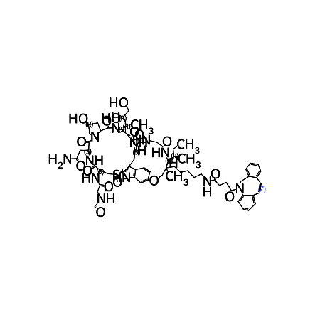 CC[C@@H](C)[C@@H]1NC(=O)CNC(=O)[C@@H]2Cc3c([nH]c4cc(ccc34)OCC1(C)CCCCCNC(=O)CCC(=O)N1Cc3ccccc3/C=C\c3ccccc31)[S+]([O-])C[C@@H](NC(=O)CNC=O)C(=O)N[C@@H](CC(N)=O)C(=O)N1C[C@H](O)CC1C(=O)N[C@@H]([C@@H](C)[C@@H](O)CO)C(=O)N2